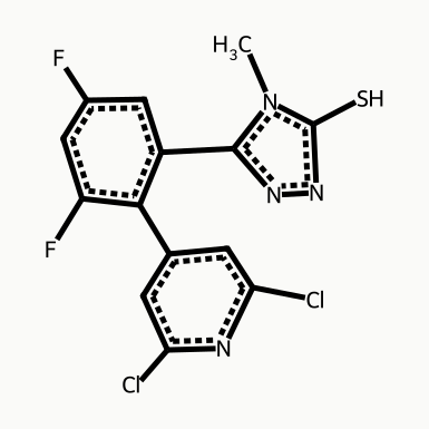 Cn1c(S)nnc1-c1cc(F)cc(F)c1-c1cc(Cl)nc(Cl)c1